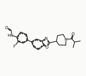 CC(C)C(=O)N1CCC(c2nc3cc(-c4ccc(NC=O)c(F)c4)ccc3o2)CC1